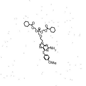 COc1ccc(Sc2nc(N)nc3c2ncn3CCOCP(=O)(OCOC(=O)C2CCCCC2)OCOC(=O)C2CCCCC2)cc1